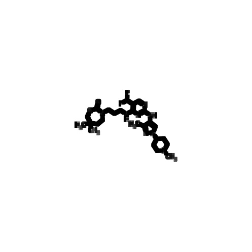 Cc1nn(C2CCN(C)CC2)cc1Nc1ncc(C(F)F)c(NCCCN2CCC(C)(C)COC2=O)n1